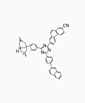 C[C@@H]1C[C@@H]2C[C@H](C)CC(c3ccc(-c4nc(-c5ccc(-c6ccc7ccccc7c6)cc5)nc(-c5ccc6c(ccc7cc(C#N)ccc76)c5)n4)cc3)(C1)C2